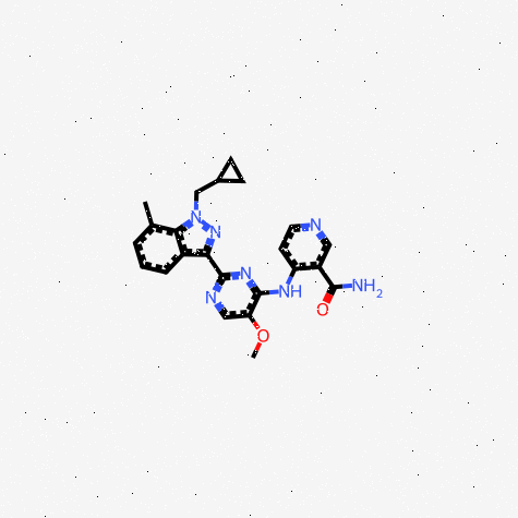 COc1cnc(-c2nn(CC3CC3)c3c(C)cccc23)nc1Nc1ccncc1C(N)=O